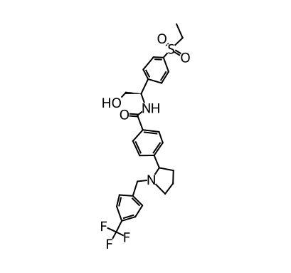 CCS(=O)(=O)c1ccc([C@H](CO)NC(=O)c2ccc(C3CCCN3Cc3ccc(C(F)(F)F)cc3)cc2)cc1